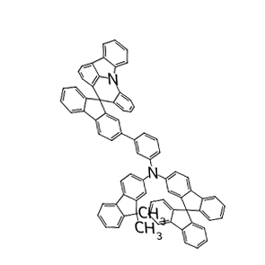 CC1(C)c2ccccc2-c2ccc(N(c3cccc(-c4ccc5c(c4)C4(c6ccccc6-5)c5ccccc5-n5c6ccccc6c6cccc4c65)c3)c3ccc4c(c3)C3(c5ccccc5-c5ccccc53)c3ccccc3-4)cc21